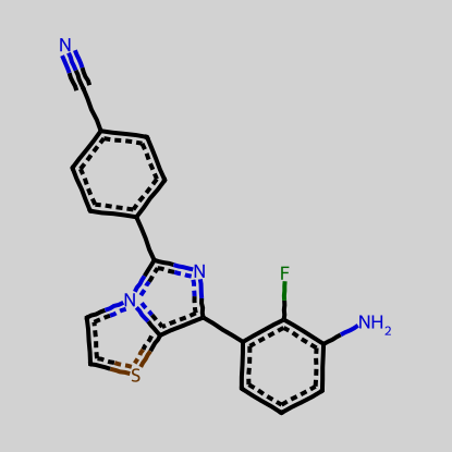 N#Cc1ccc(-c2nc(-c3cccc(N)c3F)c3sccn23)cc1